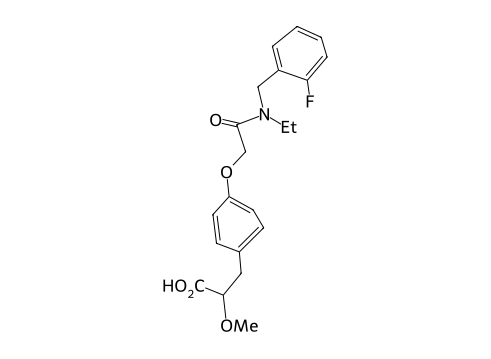 CCN(Cc1ccccc1F)C(=O)COc1ccc(CC(OC)C(=O)O)cc1